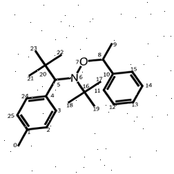 Cc1ccc(C(N(OC(C)c2ccccc2)C(C)(C)C)C(C)(C)C)cc1